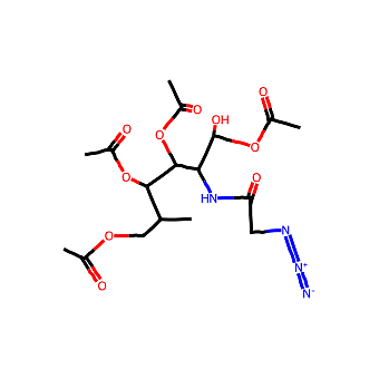 CC(=O)OCC(C)C(OC(C)=O)C(OC(C)=O)C(NC(=O)CN=[N+]=[N-])C(O)OC(C)=O